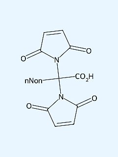 CCCCCCCCCC(C(=O)O)(N1C(=O)C=CC1=O)N1C(=O)C=CC1=O